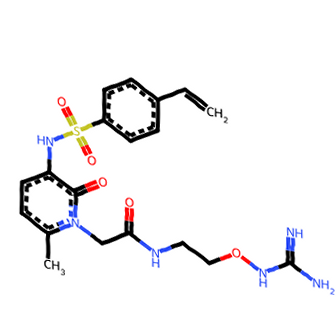 C=Cc1ccc(S(=O)(=O)Nc2ccc(C)n(CC(=O)NCCONC(=N)N)c2=O)cc1